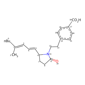 CCCCC(C)=CC=CC1CCC(=O)N1CCc1ccc(C(=O)O)cc1